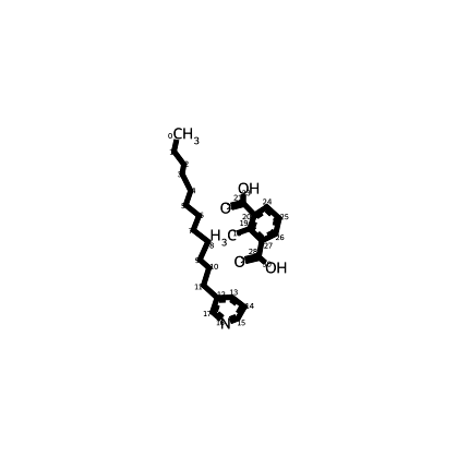 CCCCCCCCCCCCc1cccnc1.Cc1c(C(=O)O)cccc1C(=O)O